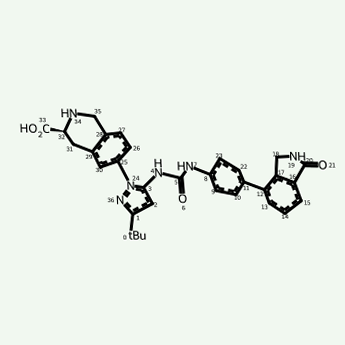 CC(C)(C)c1cc(NC(=O)Nc2ccc(-c3cccc4c3CNC4=O)cc2)n(-c2ccc3c(c2)C[C@@H](C(=O)O)NC3)n1